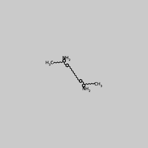 CCCCCCCCc1cc(N)ccc1Cc1ccc(CCCCCCCCCCCCc2ccc(Cc3ccc(N)cc3CCCCCCCC)cc2)cc1